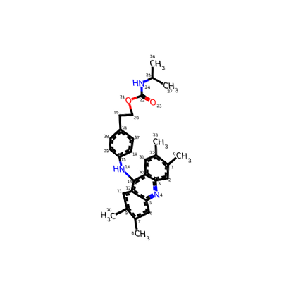 Cc1cc2nc3cc(C)c(C)cc3c(Nc3ccc(CCOC(=O)NC(C)C)cc3)c2cc1C